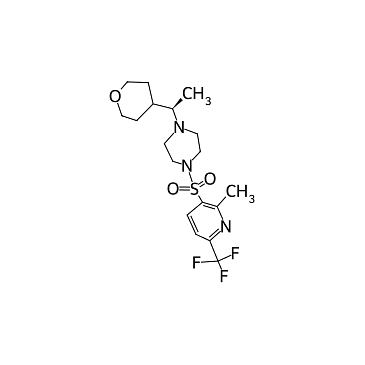 Cc1nc(C(F)(F)F)ccc1S(=O)(=O)N1CCN([C@H](C)C2CCOCC2)CC1